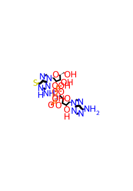 Nc1nc2c(ncn2[C@@H]2O[C@H](CO)[C@@H](O)[C@H]2OP(=O)(O)OCC2O[C@@H](n3cnc4c(N)ncnc43)[C@H](O)[C@@H]2O[PH](=O)O)c(=S)[nH]1